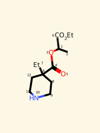 CCOC(=O)C(C)OC(=O)C1(CC)CCNCC1